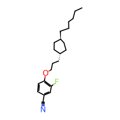 CCCCCC[C@H]1CC[C@H](CCCOc2ccc(C#N)cc2F)CC1